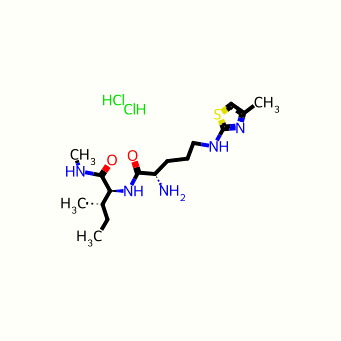 CC[C@H](C)[C@H](NC(=O)[C@@H](N)CCCNc1nc(C)cs1)C(=O)NC.Cl.Cl